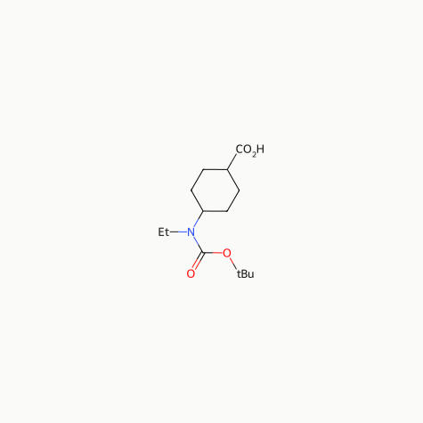 CCN(C(=O)OC(C)(C)C)C1CCC(C(=O)O)CC1